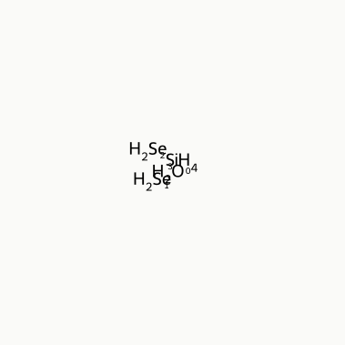 O.[SeH2].[SeH2].[SiH4]